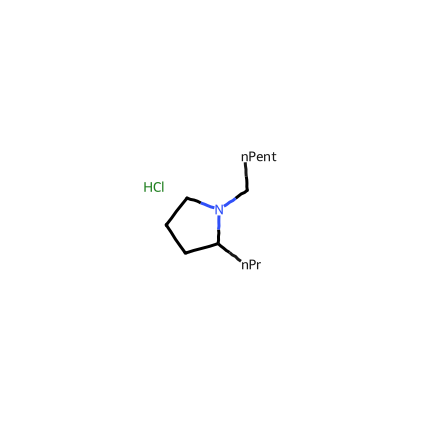 CCCCCCN1CCCC1CCC.Cl